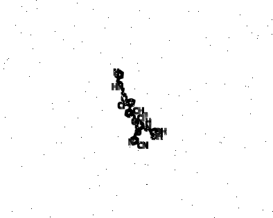 Cc1c(COc2cc(OCc3cncc(C#N)c3)c(CNC(CO)CO)cc2Cl)cccc1-c1cccc(OCCCNCCc2cccnc2)c1Cl